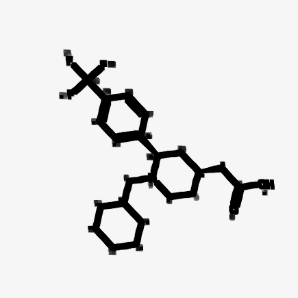 O=C(O)C[C@H]1CCN(CC2CCCCC2)[C@@H](c2ccc(C(F)(F)F)cc2)C1